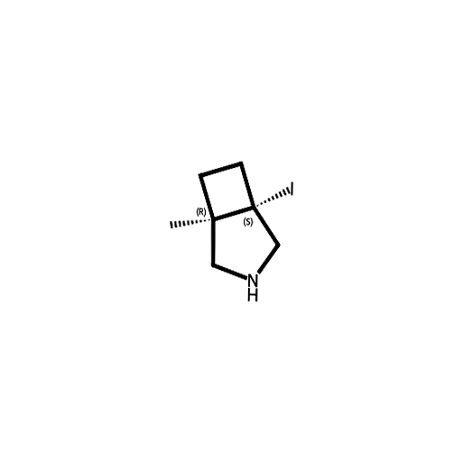 C[C@]12CC[C@@]1(I)CNC2